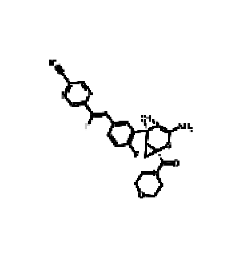 C#Cc1cnc(/C(F)=C/c2ccc(F)c([C@@]3(C)N=C(N)S[C@@]4(C(=O)N5CCOCC5)CC43)c2)cn1